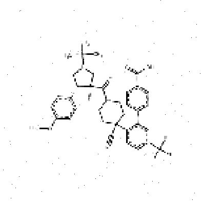 COc1ccc([C@@H]2CN(C(C)(C)C)C[C@@]2(F)C(=O)N2CCC(C#N)(c3ccc(C(F)(F)F)cc3-c3ccc(C(=O)O)cc3)CC2)cc1